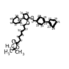 CC(C)(C)OC(=O)CCCCCCOC1[C@@H](OCc2ccc(-c3ccccc3)cc2)CC[C@@H]1N1CCCCC1